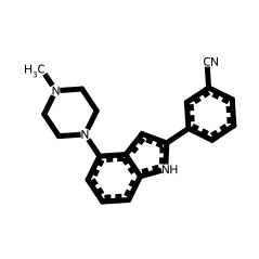 CN1CCN(c2cccc3[nH]c(-c4cccc(C#N)c4)cc23)CC1